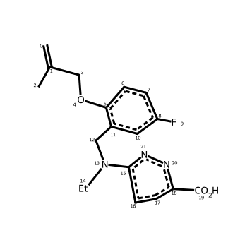 C=C(C)COc1ccc(F)cc1CN(CC)c1ccc(C(=O)O)nn1